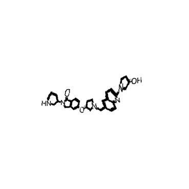 O=C1c2ccc(O[C@H]3CCN(Cc4ccc5nc(N6CC[C@H](O)C6)ccc5c4)C3)cc2CN1C1CCCNC1